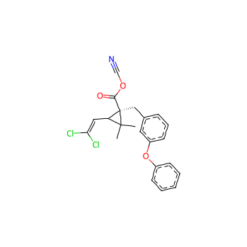 CC1(C)C(C=C(Cl)Cl)[C@@]1(Cc1cccc(Oc2ccccc2)c1)C(=O)OC#N